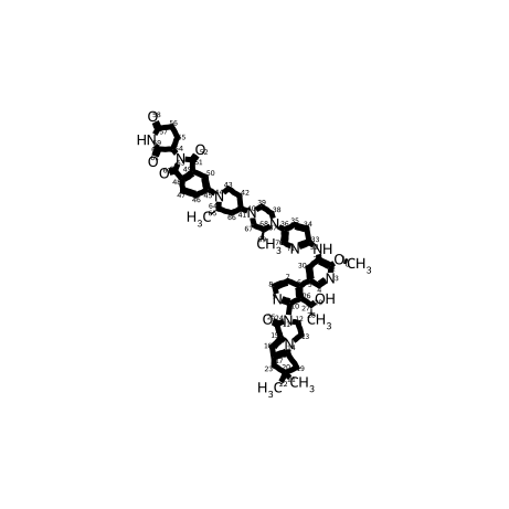 COc1ncc(-c2ccnc(N3CCn4c(cc5c4CC(C)(C)C5)C3=O)c2[C@@H](C)O)cc1Nc1ccc(N2CCN(C3CCN(c4ccc5c(c4)C(=O)N(C4CCC(=O)NC4=O)C5=O)[C@@H](C)C3)C[C@@H]2C)cn1